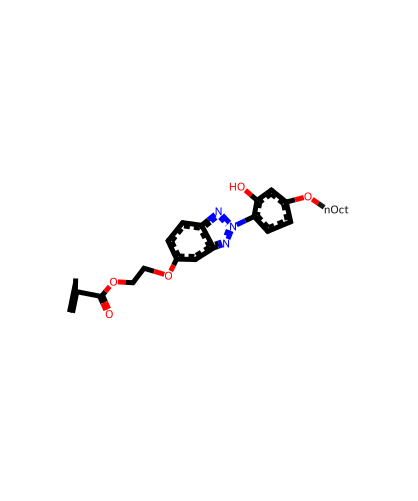 C=C(C)C(=O)OCCOc1ccc2nn(-c3ccc(OCCCCCCCC)cc3O)nc2c1